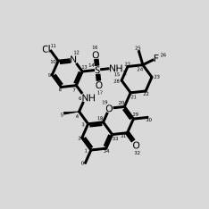 Cc1cc([C@@H](C)Nc2ccc(Cl)nc2S(N)(=O)=O)c2oc(C3CCC(C)(F)CC3)c(C)c(=O)c2c1